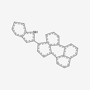 c1ccc2[nH]c(-c3ccc4c5cccc6cccc(c7cccc3c74)c65)cc2c1